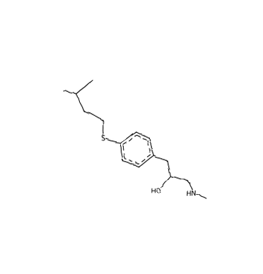 CNCC(O)Cc1ccc(SCCC(C)C)cc1